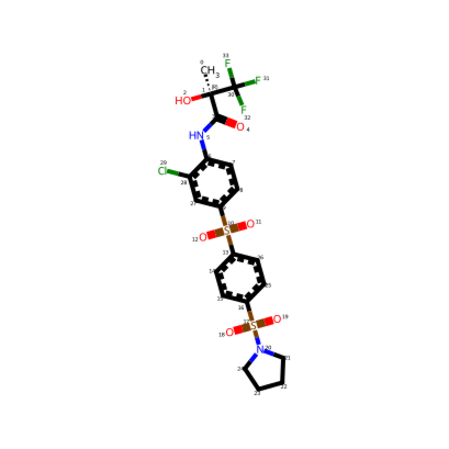 C[C@@](O)(C(=O)Nc1ccc(S(=O)(=O)c2ccc(S(=O)(=O)N3CCCC3)cc2)cc1Cl)C(F)(F)F